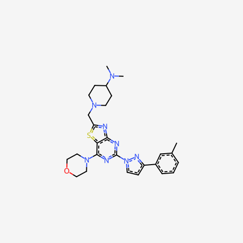 Cc1cccc(-c2ccn(-c3nc(N4CCOCC4)c4sc(CN5CCC(N(C)C)CC5)nc4n3)n2)c1